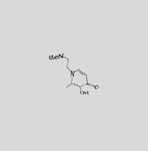 CNCCn1ccc(=O)c(O)c1C